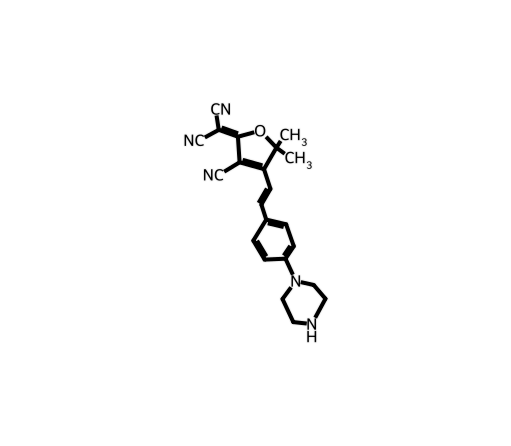 CC1(C)OC(=C(C#N)C#N)C(C#N)=C1/C=C/c1ccc(N2CCNCC2)cc1